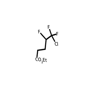 CCOC(=O)CCC(F)C(F)(F)Cl